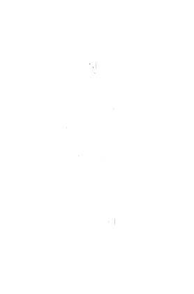 CCCC1=CCC(CN)C=C1